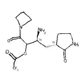 N[C@@H](C[C@@H]1CCNC1=O)C(OC(=O)C(F)(F)F)C(=O)N1CCC1